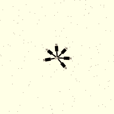 N#[C][Cu]([C]#N)([C]#N)([C]#N)([C]#N)[C]#N